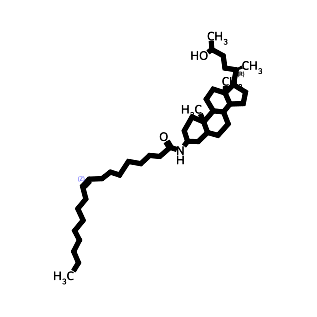 CCCCCCCC/C=C\CCCCCCCC(=O)NC1CCC2(C)C(CCC3C2CCC2(C)C3CCC2[C@H](C)CCC(C)O)C1